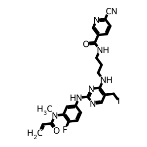 C=CC(=O)N(C)c1cc(Nc2ncc(CI)c(NCCCNC(=O)c3ccc(C#N)nc3)n2)ccc1F